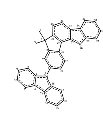 CC1(C)c2cc(-n3c4ccccc4c4ccccc43)ccc2-c2c1ccc1c2sc2ccccc21